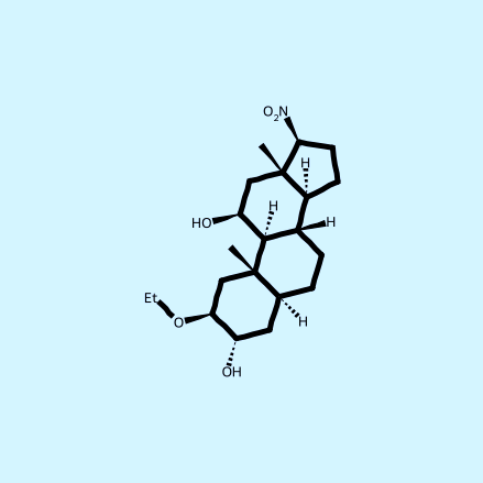 CCO[C@H]1C[C@@]2(C)[C@@H](CC[C@@H]3[C@@H]2[C@@H](O)C[C@]2(C)[C@@H]([N+](=O)[O-])CC[C@@H]32)C[C@@H]1O